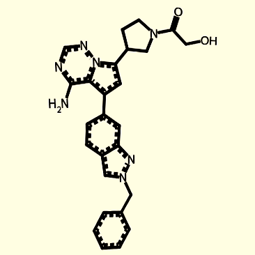 Nc1ncnn2c(C3CCN(C(=O)CO)C3)cc(-c3ccc4cn(Cc5ccccc5)nc4c3)c12